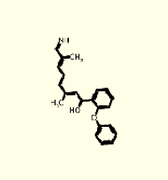 C/C(C=N)=C\CC/C(C)=C/C(O)c1ccccc1Oc1ccccc1